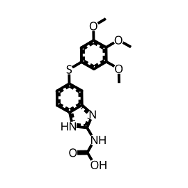 COc1cc(Sc2ccc3[nH]c(NC(=O)O)nc3c2)cc(OC)c1OC